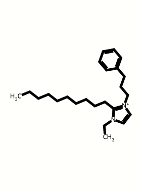 CCCCCCCCCCc1n(CC)cc[n+]1CCCc1ccccc1